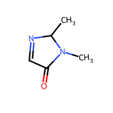 CC1N=CC(=O)N1C